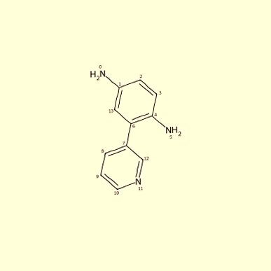 Nc1ccc(N)c(-c2cccnc2)c1